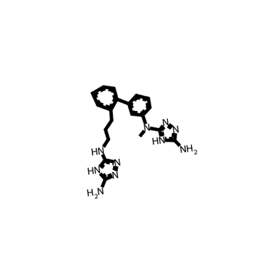 CN(c1cccc(-c2ccccc2CCCNc2nnc(N)[nH]2)c1)c1nnc(N)[nH]1